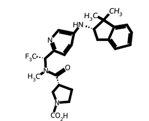 CN(C(=O)[C@@H]1CCN(C(=O)O)C1)[C@@H](c1ccc(N[C@H]2Cc3ccccc3C2(C)C)cn1)C(F)(F)F